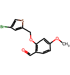 COc1ccc(C=O)c(OCc2cc(Br)cs2)c1